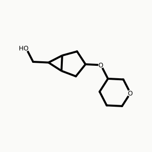 OCC1C2CC(OC3CCCOC3)CC12